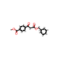 COC(=O)c1ccc(C(=O)CC(=O)OCc2ccccc2)cc1